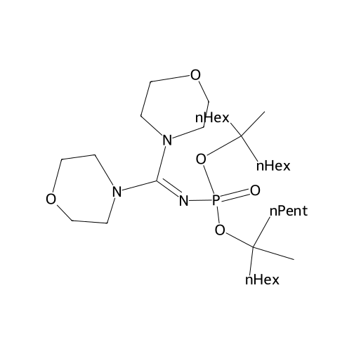 CCCCCCC(C)(CCCCC)OP(=O)(N=C(N1CCOCC1)N1CCOCC1)OC(C)(CCCCCC)CCCCCC